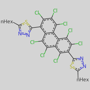 CCCCCCc1nnc(-c2c(Cl)c(Cl)c3c(c2Cl)c(Cl)c(Cl)c2c(-c4nnc(CCCCCC)s4)c(Cl)c(Cl)c(Cl)c23)s1